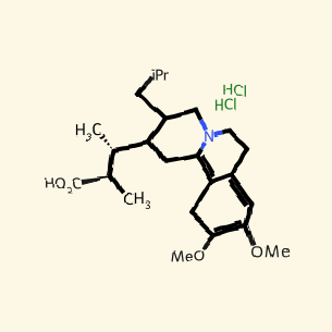 COC1=C(OC)CC2=C3CC([C@@H](C)[C@@H](C)C(=O)O)C(CC(C)C)CN3CCC2=C1.Cl.Cl